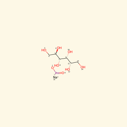 O=P[O-].OC[C@@H](O)[C@@H](O)[C@H](O)[C@@H](O)CO.[Na+]